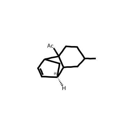 CC(=O)C12CCC(C)CC1[C@H]1C=CC2C1